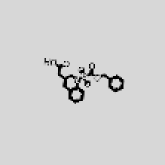 O=C(O)CC1=Cc2ccccc2N(S(=O)(=O)C(=O)OCc2ccccc2)C1